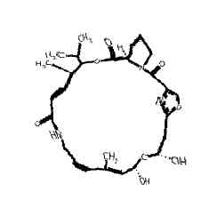 CC1=C\[C@@H](O)C[C@@H](O)Cc2nc(co2)C(=O)N2CCC[C@@H]2C(=O)OC(C(C)C)[C@H](C)/C=C/C(=O)NC\C=C\1